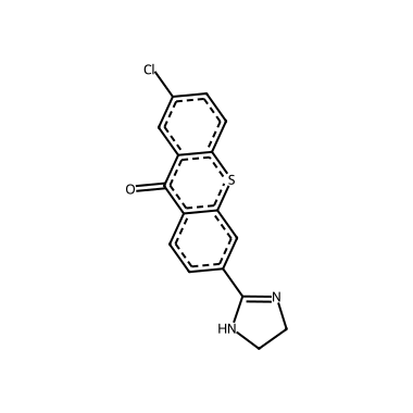 O=c1c2ccc(C3=NCCN3)cc2sc2ccc(Cl)cc12